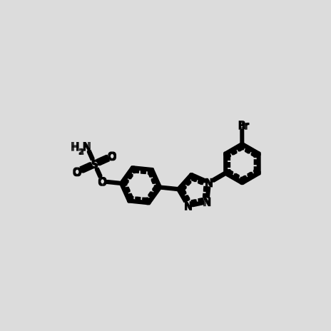 NS(=O)(=O)Oc1ccc(-c2cn(-c3cccc(Br)c3)nn2)cc1